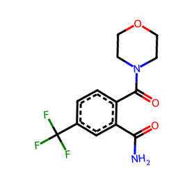 NC(=O)c1cc(C(F)(F)F)ccc1C(=O)N1CCOCC1